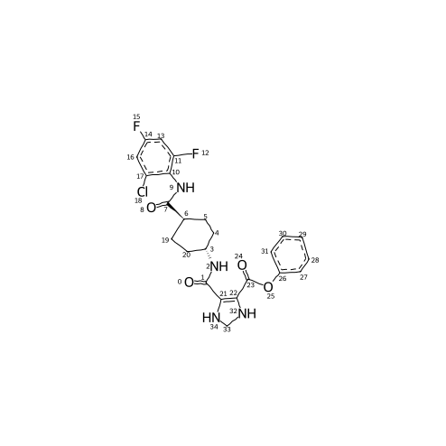 O=C(N[C@H]1CC[C@H](C(=O)Nc2c(F)cc(F)cc2Cl)CC1)C1=C(C(=O)Oc2ccccc2)NCN1